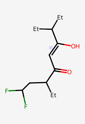 CCC(CC(F)F)C(=O)/C=C(\O)C(CC)CC